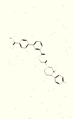 CC(C)[C@@H](NC(=O)c1cccc(-c2ccc(C(=O)N(C)C)cc2)c1)C(=O)N1CC[C@](O)(c2ccc(Cl)cc2)C(C)(C)C1